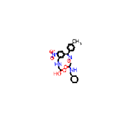 Cc1ccc(C(=NOCC(=O)NCC2CCCCC2)c2ccc([N+](=O)[O-])c(CNCC(=O)O)c2)cc1